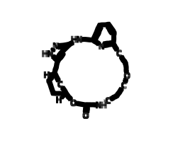 O=C1NCCCOCCc2cccc(n2)Nc2cc([nH]n2)[C@H]2CC[C@H](C2)O1